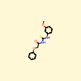 COc1cccc(NC(=S)NC(=O)COc2ccccc2)c1